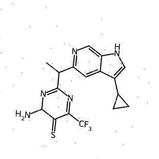 CC(C1=NC(N)C(=S)C(C(F)(F)F)=N1)c1cc2c(C3CC3)c[nH]c2cn1